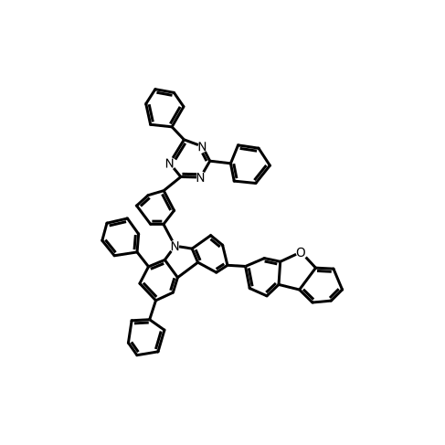 c1ccc(-c2cc(-c3ccccc3)c3c(c2)c2cc(-c4ccc5c(c4)oc4ccccc45)ccc2n3-c2cccc(-c3nc(-c4ccccc4)nc(-c4ccccc4)n3)c2)cc1